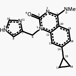 CNc1nc(=O)n(Cc2c[nH]cn2)c2cc(C3CC3)ccc12